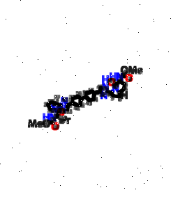 COC(=O)N[C@H]1CC[C@H]2CC[C@@H](c3nc(-c4ccc(-c5ccc(-c6c[nH]c([C@]7(C)CCCN7C(=O)[C@@H](NC(=O)OC)C(C)C)n6)cc5)cc4)c[nH]3)N2C1=O